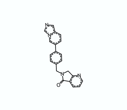 O=C1c2cccnc2CN1Cc1ccc(-c2ccc3cncn3c2)cc1